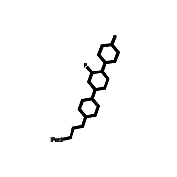 CCCC(C)CCCC1CCC(C2CCC(C3CCC(C)CC3)C(F)C2)CC1